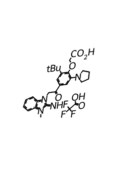 Cn1c(=N)n(CC(=O)c2cc(N3CCCC3)c(OCC(=O)O)c(C(C)(C)C)c2)c2ccccc21.O=C(O)C(F)(F)F